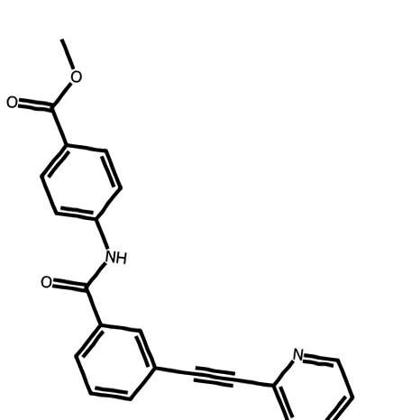 COC(=O)c1ccc(NC(=O)c2cccc(C#Cc3ccccn3)c2)cc1